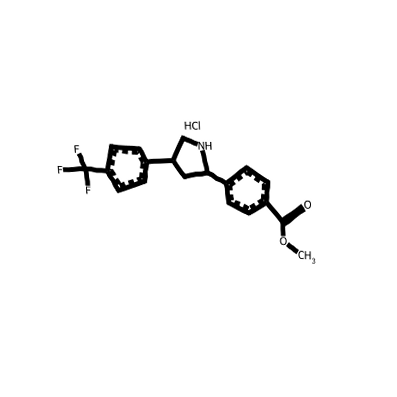 COC(=O)c1ccc(C2CC(c3ccc(C(F)(F)F)cc3)CN2)cc1.Cl